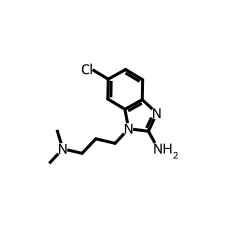 CN(C)CCCn1c(N)nc2ccc(Cl)cc21